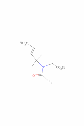 CCOC(=O)CN(C(=O)C(F)(F)F)C(C)(C)/C=C/C(=O)O